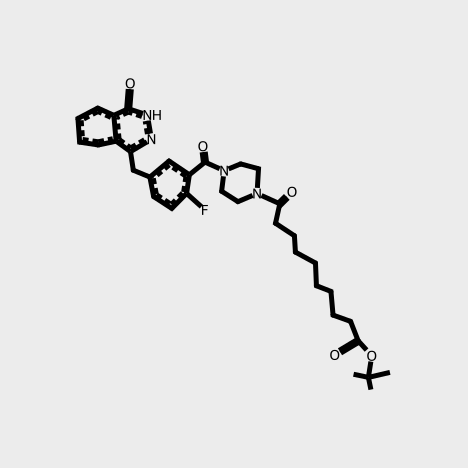 CC(C)(C)OC(=O)CCCCCCCCC(=O)N1CCN(C(=O)c2cc(Cc3n[nH]c(=O)c4ccccc34)ccc2F)CC1